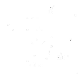 CC(S)SC(C)C(=O)O.CCC(=O)O